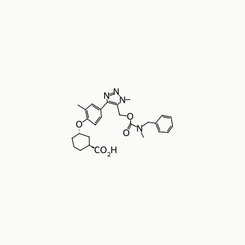 Cc1cc(-c2nnn(C)c2COC(=O)N(C)Cc2ccccc2)ccc1O[C@H]1CCC[C@H](C(=O)O)C1